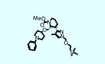 COC(=O)N1CCC[C@H](c2nn(COCC[Si](C)(C)C)cc2C)[C@@H]1COC1CCN(c2ccccc2)CC1